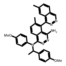 COc1ccc(C(C)N(c2ccc(OC)cc2)c2nnc(N)c3c(-c4nncc5ccc(C)cc45)c(C)ccc23)cc1